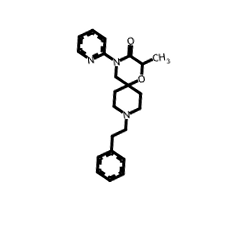 CC1OC2(CCN(CCc3ccccc3)CC2)CN(c2ccccn2)C1=O